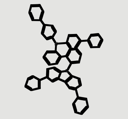 c1ccc(-c2ccc(N(c3ccc(-c4ccccc4)cc3)c3ccccc3-c3ccccc3-n3c4ccc(-c5ccccc5)cc4c4cc(-c5ccccc5)ccc43)cc2)cc1